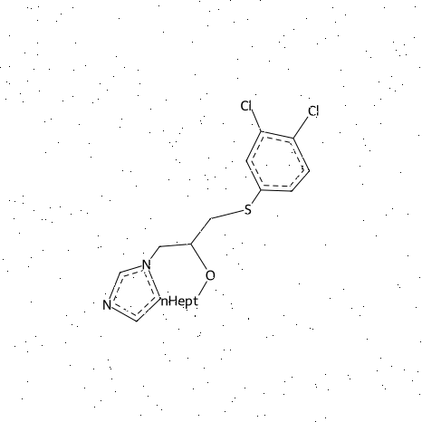 CCCCCCCOC(CSc1ccc(Cl)c(Cl)c1)Cn1ccnc1